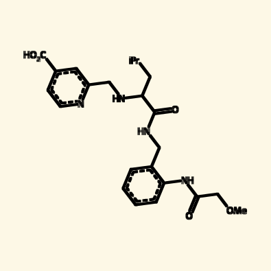 COCC(=O)Nc1ccccc1CNC(=O)C(CC(C)C)NCc1cc(C(=O)O)ccn1